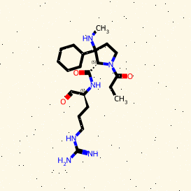 CCC(=O)N1CCC(NC)(C2CCCCC2)[C@H]1C(=O)N[C@H](C=O)CCCNC(=N)N